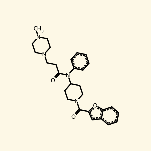 CN1CCN(CCC(=O)N(c2ccccc2)C2CCN(C(=O)c3cc4ccccc4o3)CC2)CC1